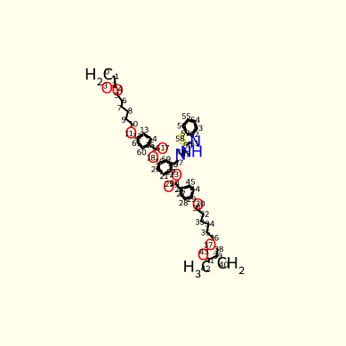 C=CC(=O)OCCCCCCOc1ccc(C(=O)Oc2ccc(OC(=O)c3ccc(OCCCCCCOCC(=C)C(C)=O)cc3)c(/C=N/Nc3nc4ccccc4s3)c2)cc1